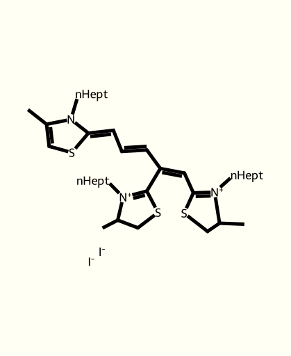 CCCCCCCN1C(C)=CSC1=CC=CC(=CC1=[N+](CCCCCCC)C(C)CS1)C1=[N+](CCCCCCC)C(C)CS1.[I-].[I-]